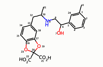 Cc1cccc(C(O)CNC(C)Cc2ccc3c(c2)OC(C(=O)O)(C(=O)O)O3)c1